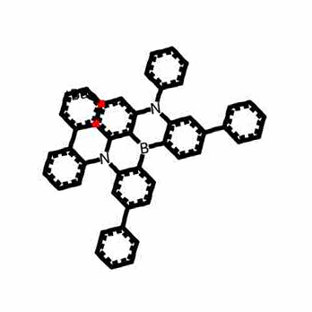 CC(C)(C)c1cc2c3c(c1)N(c1ccccc1-c1ccccc1)c1cc(-c4ccccc4)ccc1B3c1ccc(-c3ccccc3)cc1N2c1ccccc1